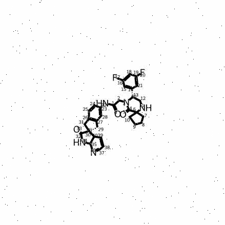 O=C(CN1C(=O)C2(CCCC2)NC[C@H]1c1cc(F)cc(F)c1)Nc1ccc2c(c1)C[C@@]1(C2)C(=O)NC2N=CC=CC21